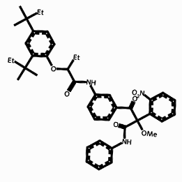 CCC(Oc1ccc(C(C)(C)CC)cc1C(C)(C)CC)C(=O)Nc1cccc(C(=O)C(OC)(C(=O)Nc2ccccc2)c2ccccc2[N+](=O)[O-])c1